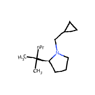 CCCC(C)(C)[C@@H]1CCCN1CC1CC1